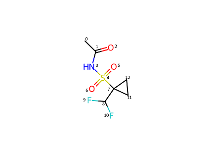 CC(=O)NS(=O)(=O)C1(C(F)F)CC1